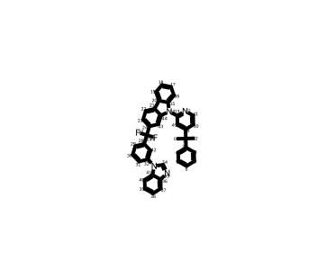 CC(C)(c1ccccc1)c1ccnc(-n2c3ccccc3c3ccc(C(F)(F)c4cccc(-n5cnc6ccccc65)c4)cc32)c1